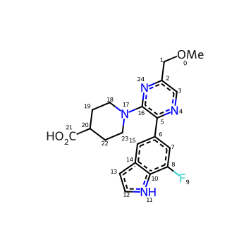 COCc1cnc(-c2cc(F)c3[nH]ccc3c2)c(N2CCC(C(=O)O)CC2)n1